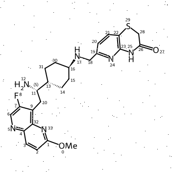 COc1ccc2ncc(F)c(C[C@H](N)[C@H]3CC[C@H](NCc4ccc5c(n4)NC(=O)CS5)CC3)c2n1